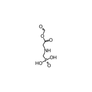 O=COC(=O)CNCP(=O)(O)O